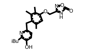 CCC(C)c1nc(Cc2c(C)cc(OCc3noc(=O)[nH]3)c(C)c2C)ccc1O